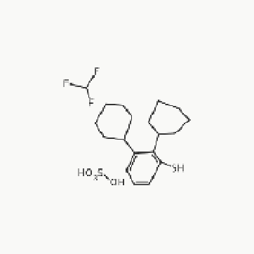 FC(F)F.O=S(=O)(O)O.Sc1cccc(C2CCCCC2)c1C1CCCCC1